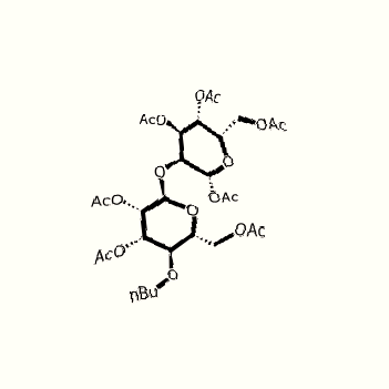 CCCCO[C@H]1[C@H](OC(C)=O)[C@H](OC(C)=O)[C@@H](O[C@@H]2[C@@H](OC(C)=O)O[C@@H](COC(C)=O)[C@@H](OC(C)=O)[C@@H]2OC(C)=O)O[C@@H]1COC(C)=O